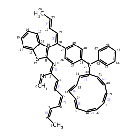 C=NC(/C=C/C=C\C=C/C)=N\c1sc2ccccc2c1/C(=C\C=C\C)c1ccc(N(C2=C/C=C/C=C/C=C\C=C/C=C\2)c2ccccc2)cc1